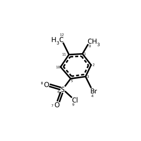 Cc1cc(Br)c(S(=O)(=O)Cl)cc1C